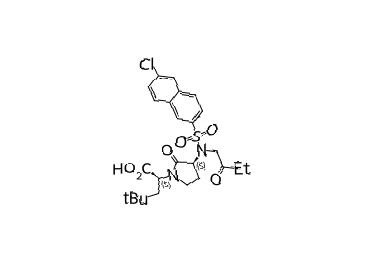 CCC(=O)CN([C@H]1CCN([C@@H](CC(C)(C)C)C(=O)O)C1=O)S(=O)(=O)c1ccc2cc(Cl)ccc2c1